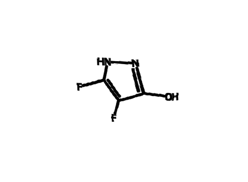 Oc1n[nH]c(F)c1F